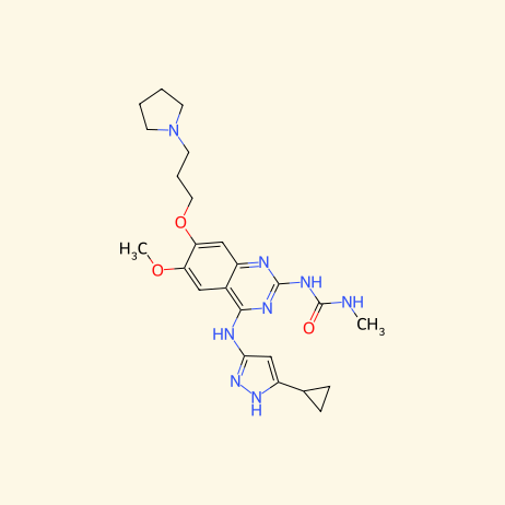 CNC(=O)Nc1nc(Nc2cc(C3CC3)[nH]n2)c2cc(OC)c(OCCCN3CCCC3)cc2n1